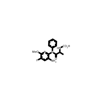 COc1nc(N(C(=O)C(C)NC(=O)O)c2ccccc2)c(N)cc1F